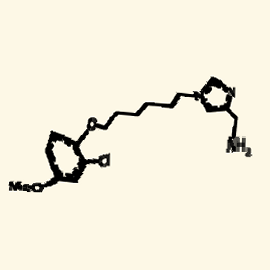 COc1ccc(OCCCCCCn2cnc(CN)c2)c(Cl)c1